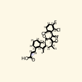 Cc1cn(C(=O)c2c(-c3c(Cl)ccc(F)c3Cl)noc2C(C)C)c2cccc(/C=C/C(=O)O)c12